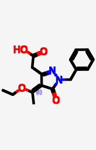 CCO/C(C)=C1/C(=O)N(Cc2ccccc2)N=C1CC(=O)O